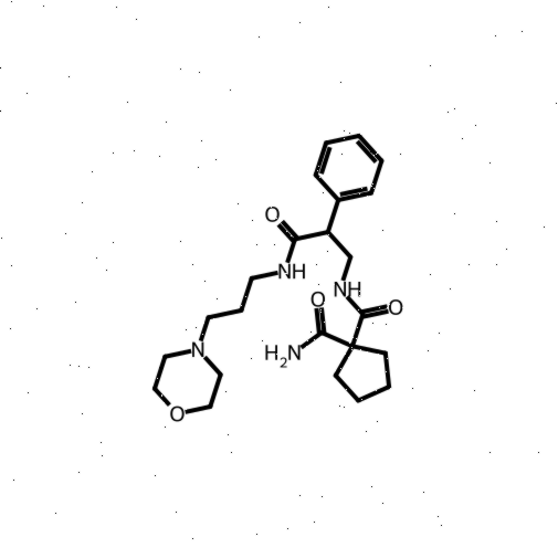 NC(=O)C1(C(=O)NCC(C(=O)NCCCN2CCOCC2)c2ccccc2)CCCC1